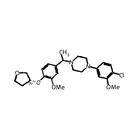 COc1cc(N2CCN(C(C)c3ccc(O[C@@H]4CCOC4)c(OC)c3)CC2)ccc1Cl